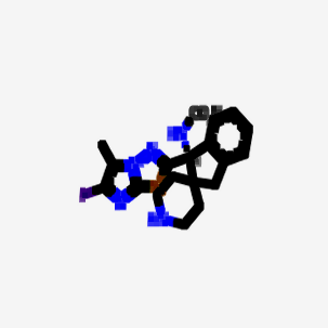 Cc1c(I)nc2sc([C@@]3(NC(=O)O)c4ccccc4CC34CCNCC4)nn12